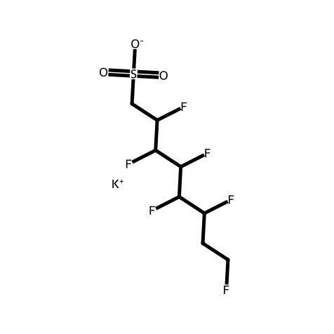 O=S(=O)([O-])CC(F)C(F)C(F)C(F)C(F)CCF.[K+]